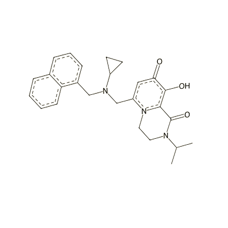 CC(C)N1CCn2c(CN(Cc3cccc4ccccc34)C3CC3)cc(=O)c(O)c2C1=O